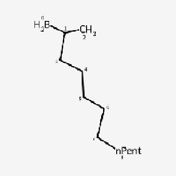 BC(C)CCCCCCCCCC